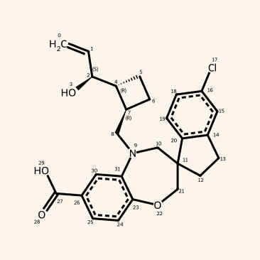 C=C[C@H](O)[C@@H]1CC[C@H]1CN1CC2(CCc3cc(Cl)ccc32)COc2ccc(C(=O)O)cc21